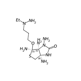 CCN(N)CCCO[C@]1(N)SC[C@]2(N)NC(=O)N(N)[C@@]21N